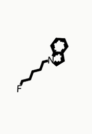 FCCCCCn1ccc2ccccc21